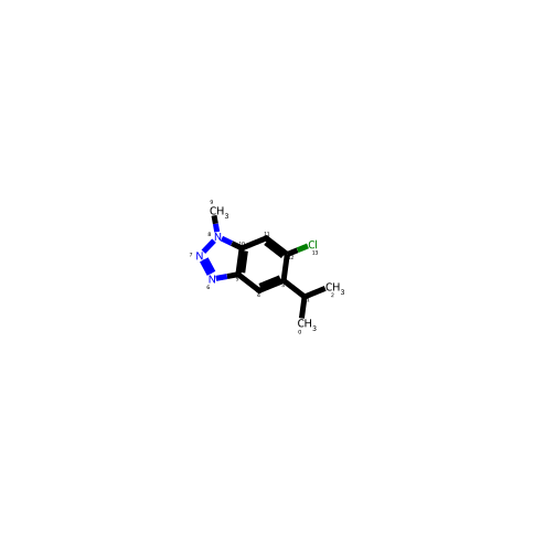 CC(C)c1cc2nnn(C)c2cc1Cl